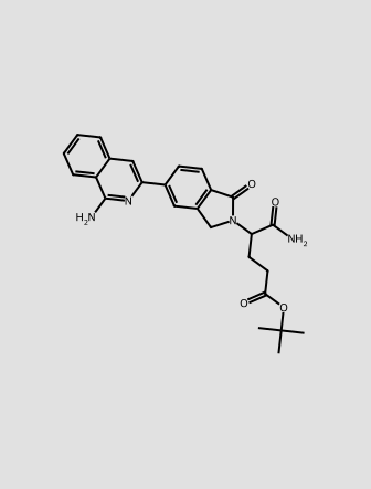 CC(C)(C)OC(=O)CCC(C(N)=O)N1Cc2cc(-c3cc4ccccc4c(N)n3)ccc2C1=O